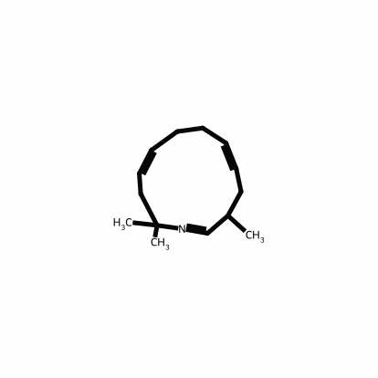 CC1C=NC(C)(C)CC=CCCC=CC1